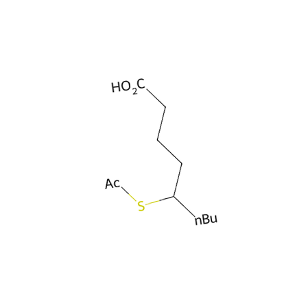 CCCCC(CCCC(=O)O)SC(C)=O